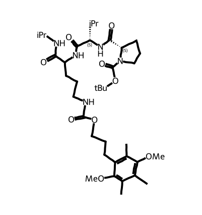 COc1c(C)c(C)c(OC)c(CCCOC(=O)NCCCC(NC(=O)[C@@H](NC(=O)[C@@H]2CCCN2C(=O)OC(C)(C)C)C(C)C)C(=O)NC(C)C)c1C